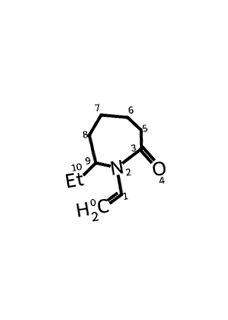 C=CN1C(=O)CCCCC1CC